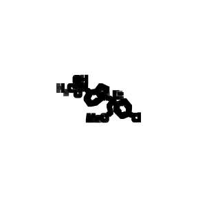 CCC(CCOC)(c1ccc(Cl)cc1)n1ccc2c(NS(C)(=O)=O)cccc21